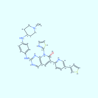 CN1CCC(Nc2ccc(Nc3ncc4cc(-c5ccc(-c6ccsc6)cn5)c(=O)n(-c5nccs5)c4n3)cc2)CC1